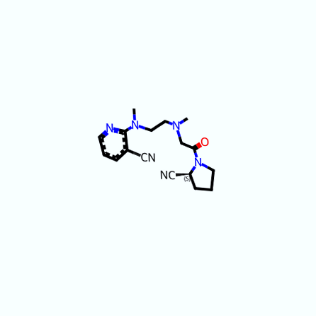 CN(CCN(C)c1ncccc1C#N)CC(=O)N1CCC[C@H]1C#N